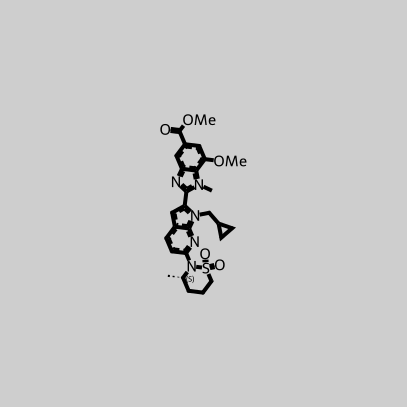 COC(=O)c1cc(OC)c2c(c1)nc(-c1cc3ccc(N4[C@@H](C)CCCS4(=O)=O)nc3n1CC1CC1)n2C